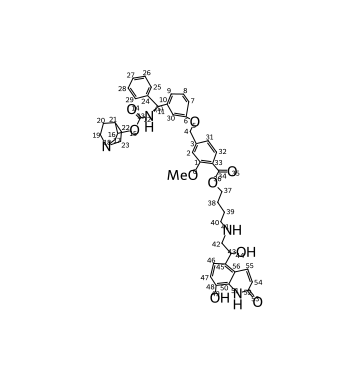 COc1cc(COc2cccc([C@@H](NC(=O)OC3CN4CCC3CC4)c3ccccc3)c2)ccc1C(=O)OCCCCNCC(O)c1ccc(O)c2[nH]c(=O)ccc12